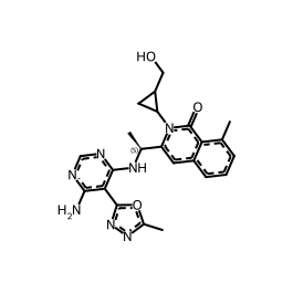 Cc1nnc(-c2c(N)ncnc2N[C@@H](C)c2cc3cccc(C)c3c(=O)n2C2CC2CO)o1